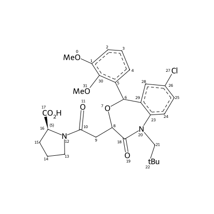 COc1cccc(C2OC(CC(=O)N3CCC[C@H]3C(=O)O)C(=O)N(CC(C)(C)C)c3ccc(Cl)cc32)c1OC